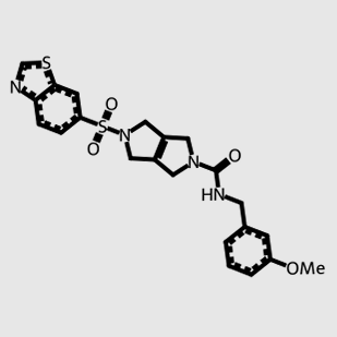 COc1cccc(CNC(=O)N2CC3=C(C2)CN(S(=O)(=O)c2ccc4ncsc4c2)C3)c1